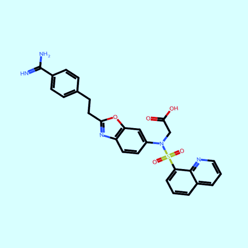 N=C(N)c1ccc(CCc2nc3ccc(N(CC(=O)O)S(=O)(=O)c4cccc5cccnc45)cc3o2)cc1